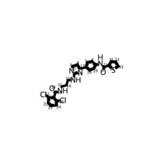 O=C(Nc1ccc(-c2ccnc(NCCCNC(=O)c3c(Cl)cccc3Cl)n2)cc1)c1cccs1